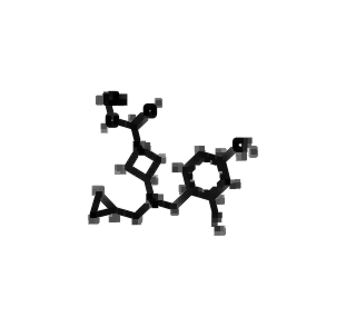 CC(C)(C)OC(=O)N1CC(N(Cc2ccc(C(F)(F)F)cc2F)CC2CC2)C1